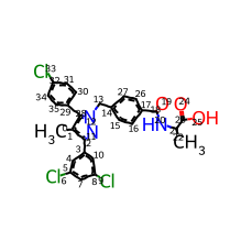 Cc1c(-c2cc(Cl)cc(Cl)c2)nn(Cc2ccc(C(=O)NC(C)C(=O)O)cc2)c1-c1ccc(Cl)cc1